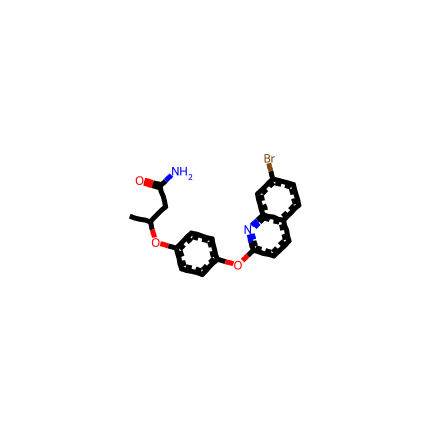 CC(CC(N)=O)Oc1ccc(Oc2ccc3ccc(Br)cc3n2)cc1